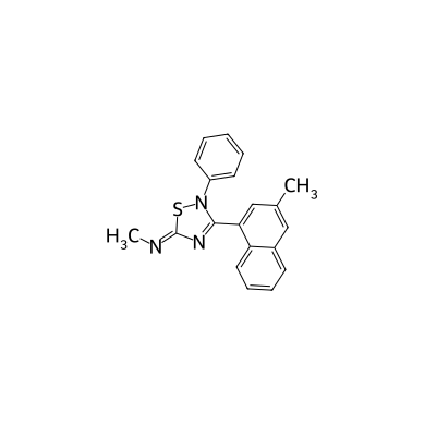 CN=c1nc(-c2cc(C)cc3ccccc23)n(-c2ccccc2)s1